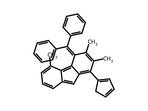 Cc1c(C2=CC=CC2)c2c(c(=C(c3ccccc3)c3ccccc3)c1C)=c1c(C)cccc1=[C]2